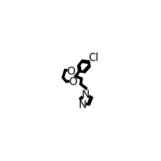 Clc1ccc(C2(CCCn3ccnc3)OCCCO2)cc1